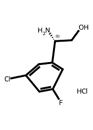 Cl.N[C@H](CO)c1cc(F)cc(Cl)c1